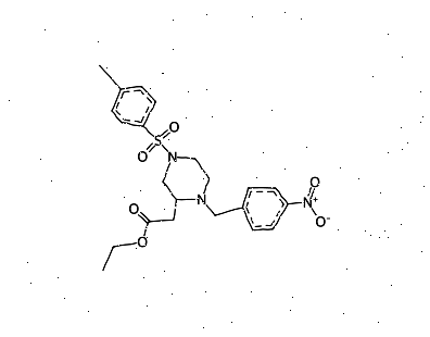 CCOC(=O)CC1CN(S(=O)(=O)c2ccc(C)cc2)CCN1Cc1ccc([N+](=O)[O-])cc1